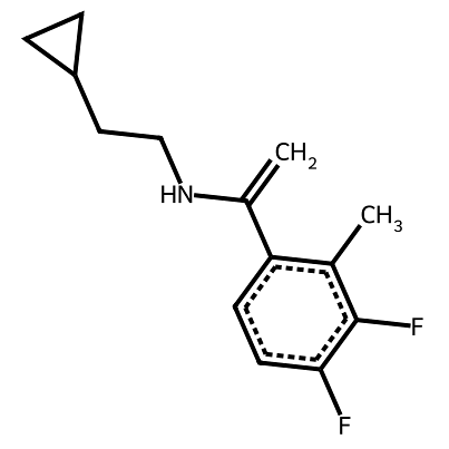 C=C(NCCC1CC1)c1ccc(F)c(F)c1C